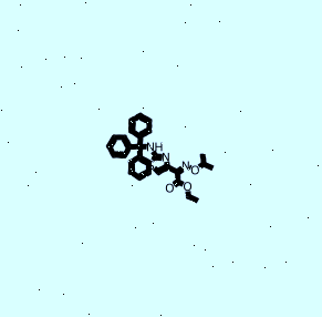 CCOC(=O)C(=NOC(C)C)c1csc(NC(c2ccccc2)(c2ccccc2)c2ccccc2)n1